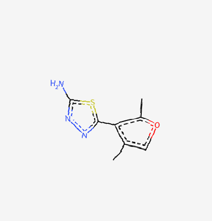 Cc1coc(C)c1-c1nnc(N)s1